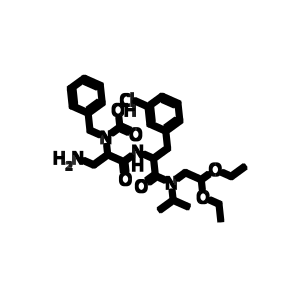 CCOC(CN(C(=O)C(Cc1cccc(Cl)c1)NC(=O)C(CN)N(Cc1ccccc1)C(=O)O)C(C)C)OCC